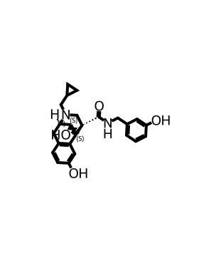 O=C(NCc1cccc(O)c1)[C@@H]1C[C@]23CCN(CC4CC4)[C@H](Cc4ccc(O)cc42)[C@]3(O)C1